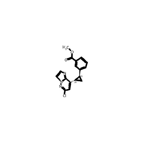 COC(=O)c1cccc([C@H]2C[C@@H]2c2cc(Cl)nn3ccnc23)c1